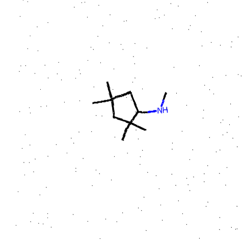 CNC1CC(C)(C)CC1(C)C